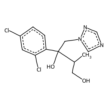 CC(CO)C(O)(Cn1cncn1)c1ccc(Cl)cc1Cl